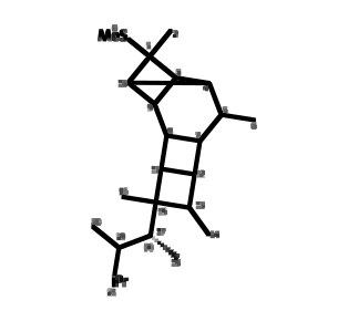 CSC1(C)C2C3C(C)C4C(C2C31)C1C4C(C)C1(C)[C@H](C)C(C)C(C)C